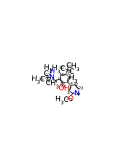 COc1cc(-c2cc(C(C)(C)C)cc(CNC(C)(C)C)c2O)ccn1